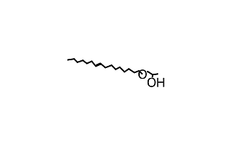 CCCCCCC=CCCCCCCCCOCC(C)O